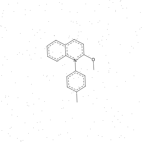 COc1ccc2ccccc2[n+]1-c1ccc(C)cc1